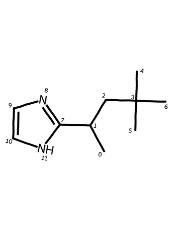 CC(CC(C)(C)C)c1ncc[nH]1